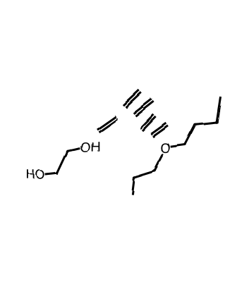 C=C.C=C.C=C.C=C.C=C.CCCCOCCC.OCCO